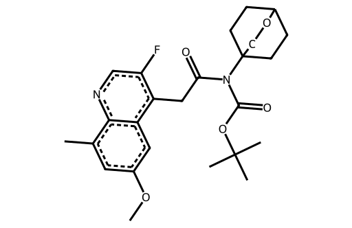 COc1cc(C)c2ncc(F)c(CC(=O)N(C(=O)OC(C)(C)C)C34CCC(CC3)OC4)c2c1